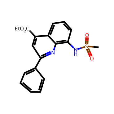 CCOC(=O)c1cc(-c2ccccc2)nc2c(NS(C)(=O)=O)cccc12